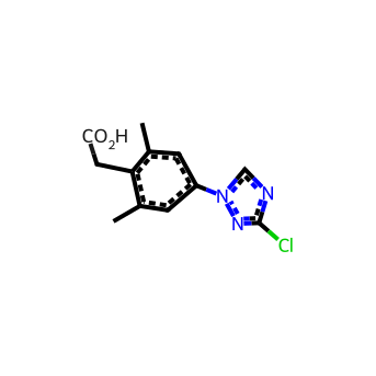 Cc1cc(-n2cnc(Cl)n2)cc(C)c1CC(=O)O